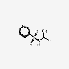 [CH2]C(O)NS(=O)(=O)c1cccnc1